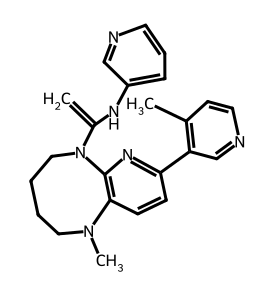 C=C(Nc1cccnc1)N1CCCCN(C)c2ccc(-c3cnccc3C)nc21